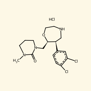 CN1CCCN(C[C@H]2OCCNC[C@H]2c2ccc(Cl)c(Cl)c2)C1=O.Cl